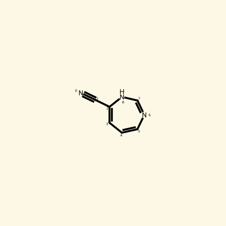 N#CC1=CC=CN=CN1